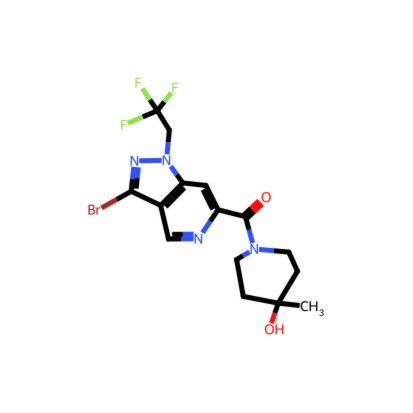 CC1(O)CCN(C(=O)c2cc3c(cn2)c(Br)nn3CC(F)(F)F)CC1